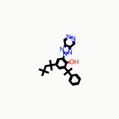 CC(C)(C)CC(C)(C)c1cc(-n2nc3cnncc3n2)c(O)c(C(C)(C)c2ccccc2)c1